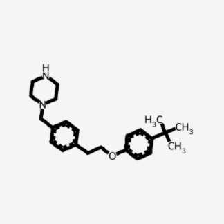 CC(C)(C)c1ccc(OCCc2ccc(CN3CCNCC3)cc2)cc1